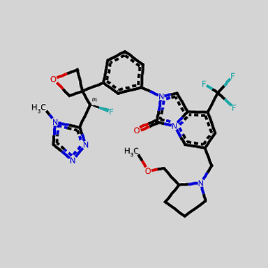 COCC1CCCN1Cc1cc(C(F)(F)F)c2cn(-c3cccc(C4([C@@H](F)c5nncn5C)COC4)c3)c(=O)n2c1